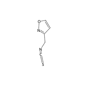 S=C=NCc1ccon1